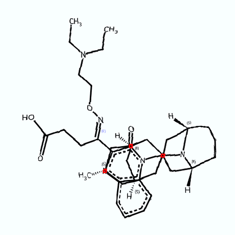 CCN(CC)CCO/N=C(\CCC(=O)O)c1nc2ccccc2n(C2C[C@H]3CCC[C@@H](C2)N3C2C[C@@H]3C[C@@H](C)C[C@H](C2)C3)c1=O